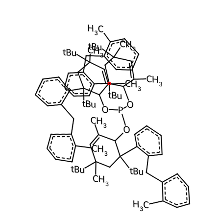 CC1=CC(C)(C(C)(C)C)CC(c2ccccc2Cc2ccccc2C)(C(C)(C)C)C1OP(OC1C(C)=CC(C)(C(C)(C)C)CC1(c1ccccc1Cc1ccccc1C)C(C)(C)C)OC1C(C)=CC(C)(C(C)(C)C)CC1(c1ccccc1Cc1ccccc1C)C(C)(C)C